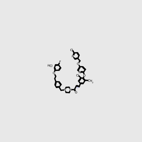 Cc1cc(/C=C/C(=O)N2CCN(Cc3ccc(CCOc4ccc(F)cc4)cc3)CC2)cc(Cl)c1Oc1ccc(OCc2ccc(Cl)nc2)cn1.Cl